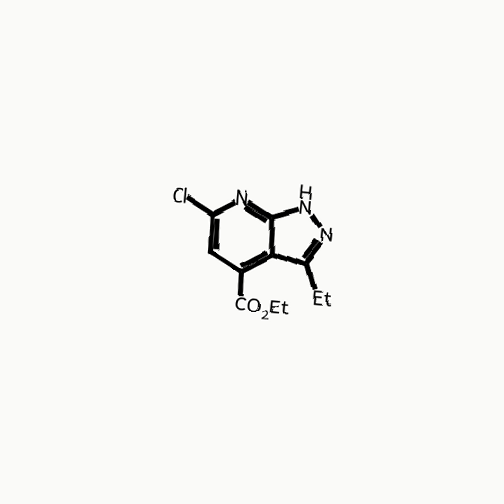 CCOC(=O)c1cc(Cl)nc2[nH]nc(CC)c12